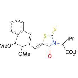 COC1C(/C=C2\SC(=S)N(C(C(=O)O)C(C)C)C2=O)=Cc2ccccc2C1OC